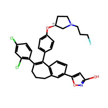 Oc1cc(-c2ccc3c(c2)CCCC(c2ccc(Cl)cc2Cl)=C3c2ccc(O[C@H]3CCN(CCCF)C3)cc2)on1